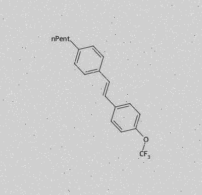 CCCCCc1ccc(C=Cc2ccc(OC(F)(F)F)cc2)cc1